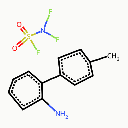 Cc1ccc(-c2ccccc2N)cc1.O=S(=O)(F)N(F)F